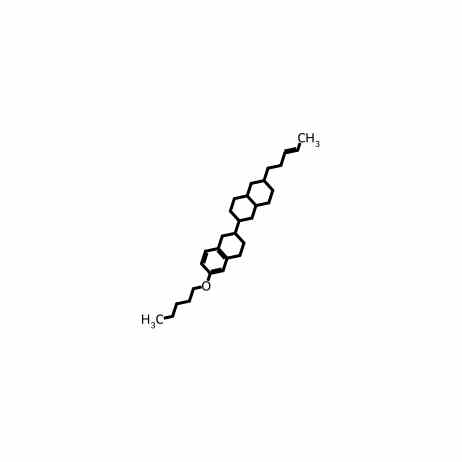 CC=CCCC1CCC2CC(C3CCc4cc(OCCCCC)ccc4C3)CCC2C1